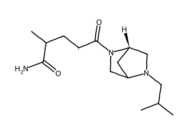 CC(C)CN1C[C@@H]2CC1CN2C(=O)[CH]CC(C)C(N)=O